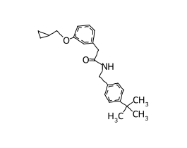 CC(C)(C)c1ccc(CNC(=O)Cc2cccc(OCC3CC3)c2)cc1